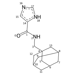 O=C(NCC12CC3CC(CC(C3)C1)C2)c1cnc[nH]1